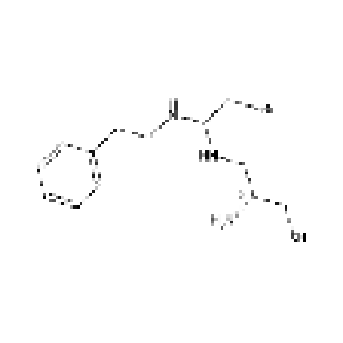 CCC(C)CC(NCCc1ccccc1)NC[C@@H](N)CS